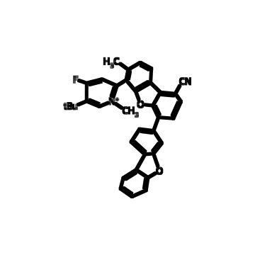 Cc1ccc2c(oc3c(-c4ccc5c(c4)oc4ccccc45)ccc(C#N)c32)c1-c1cc(F)c(C(C)(C)C)c[n+]1C